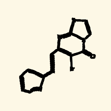 O=c1c(Br)c(/C=C/c2ccccn2)nc2sccn12